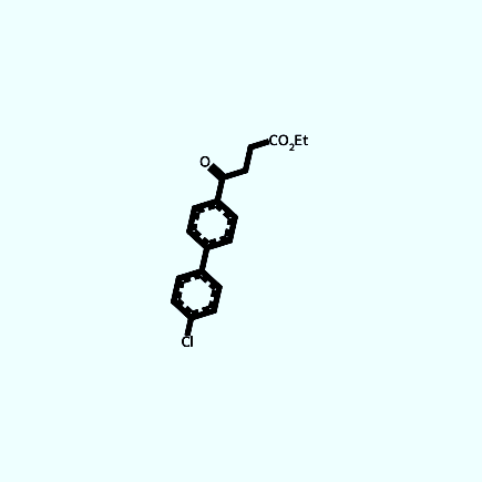 CCOC(=O)CCC(=O)c1ccc(-c2ccc(Cl)cc2)cc1